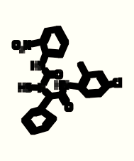 Cc1cc(Cl)ccc1NC(=O)C(c1ccccc1)N(S)C(=O)Nc1ccccc1[N+](=O)[O-]